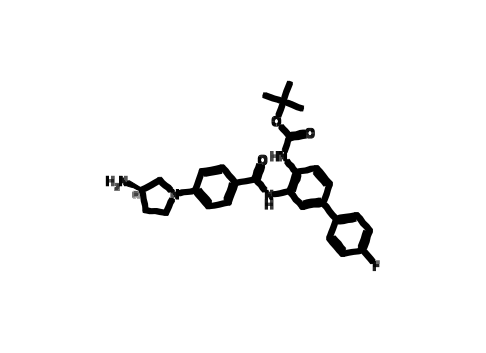 CC(C)(C)OC(=O)Nc1ccc(-c2ccc(F)cc2)cc1NC(=O)c1ccc(N2CC[C@@H](N)C2)cc1